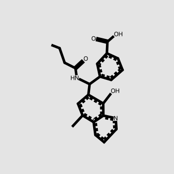 CCCC(=O)NC(c1cccc(C(=O)O)c1)c1cc(C)c2cccnc2c1O